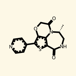 C[C@@H]1CNC(=O)c2sc(-c3ccncc3)c3c2N1C(=O)CO3